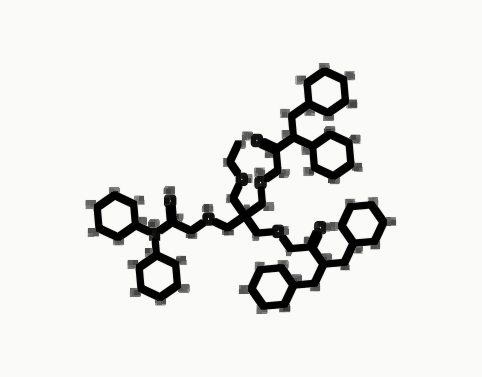 CCOCC(COCC(=O)C(CC1CCCCC1)CC1CCCCC1)(COCC(=O)C(CC1CCCCC1)C1CCCCC1)COCC(=O)N(C1CCCCC1)C1CCCCC1